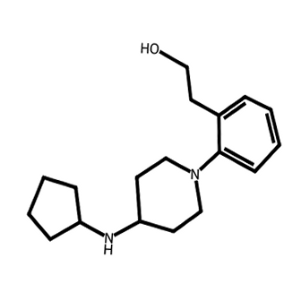 OCCc1ccccc1N1CCC(NC2CCCC2)CC1